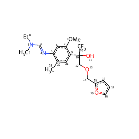 CCN(C)/C=N/c1cc(OC)c(C(O)(COCc2ccco2)C(F)(F)F)cc1C